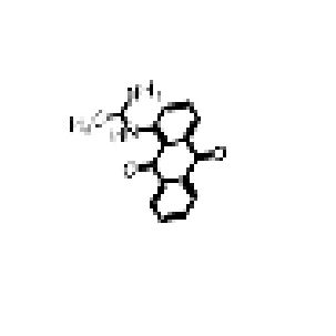 CC(N)Nc1cccc2c1C(=O)c1ccccc1C2=O